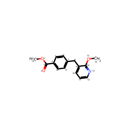 COC(=O)c1ccc(Cc2cccnc2OC)cc1